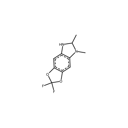 CC1Nc2cc3c(cc2N1C)OC(F)(F)O3